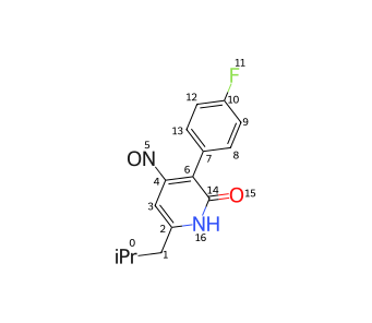 CC(C)Cc1cc(N=O)c(-c2ccc(F)cc2)c(=O)[nH]1